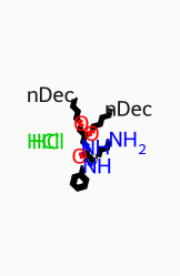 CCCCCCCCCCCCCCOCC(CNC(=O)[C@H](CCCCN)NCc1ccccc1)OCCCCCCCCCCCCCC.Cl.Cl